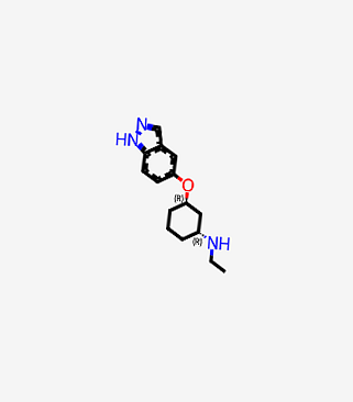 CCN[C@@H]1CCC[C@@H](Oc2ccc3[nH]ncc3c2)C1